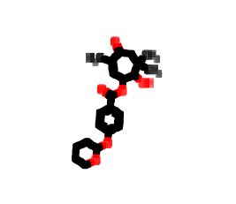 CC1=CC(OC(=O)c2ccc(OC3CCCCO3)cc2)C(O)C(C)(C)CC1=O